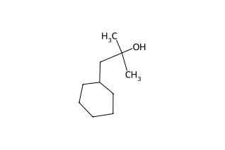 CC(C)(O)CC1CCCCC1